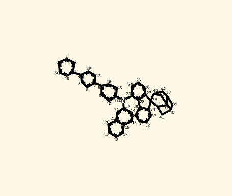 c1ccc(-c2ccc(-c3ccc(N(c4ccc5ccccc5c4)c4cccc5c4-c4ccccc4C54C5CC6CC(C5)CC4C6)cc3)cc2)cc1